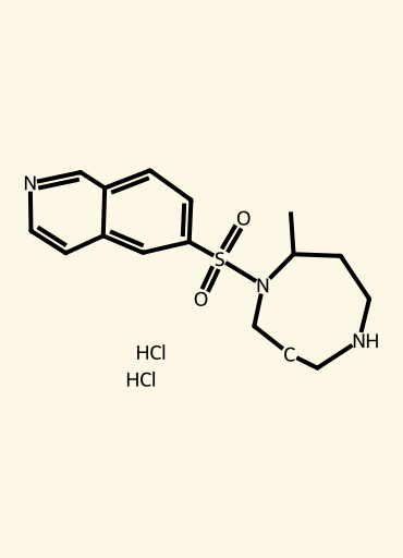 CC1CCNCCCN1S(=O)(=O)c1ccc2cnccc2c1.Cl.Cl